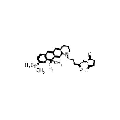 CN(C)c1ccc2c(c1)C(C)(C)C1=CC3C(=CC1=C2)CCCN3CCCC(=O)ON1C(=O)CCC1=O